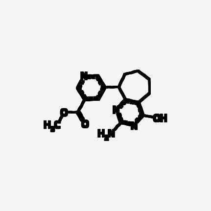 COC(=O)c1cncc(C2CCCCc3c(O)nc(N)nc32)c1